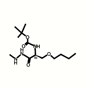 CCCCOC[C@H](NC(=O)OC(C)(C)C)C(=O)NNC